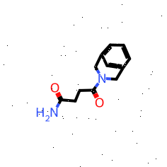 NC(=O)CCC(=O)N1Cc2cccc(c2)C1